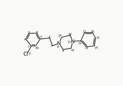 Clc1cccc(CCN2CCN(c3ccccc3)CC2)c1